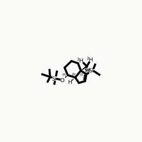 [2H]C([2H])([2H])[C@]12CCC[C@@H](O[Si](C)(C)C(C)(C)C)[C@@H]1CC=C2[SiH](C)C